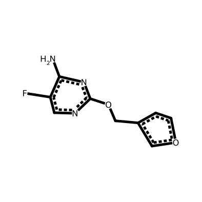 Nc1nc(OCc2ccoc2)ncc1F